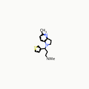 CNCCC(c1ccsc1)N1CCc2nc(C)ccc21